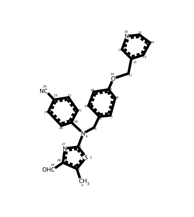 Cc1sc(N(Cc2ccc(OCc3cccnc3)cc2)c2ccc(C#N)cc2)nc1C=O